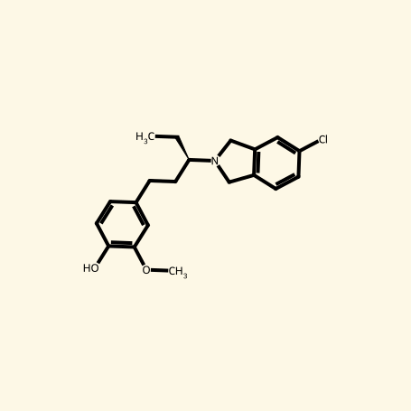 CC[C@H](CCc1ccc(O)c(OC)c1)N1Cc2ccc(Cl)cc2C1